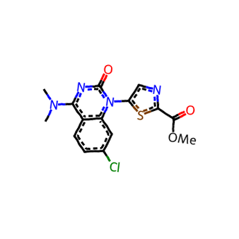 COC(=O)c1ncc(-n2c(=O)nc(N(C)C)c3ccc(Cl)cc32)s1